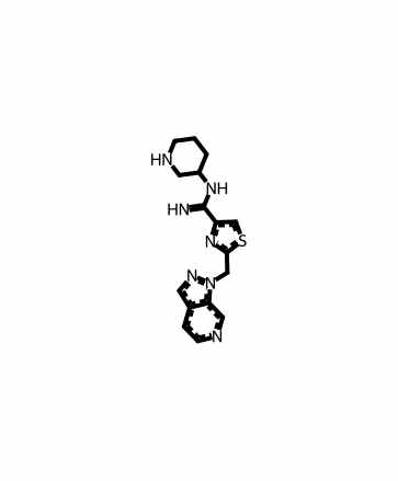 N=C(NC1CCCNC1)c1csc(Cn2ncc3ccncc32)n1